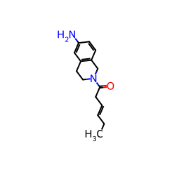 CCC=CCC(=O)N1CCc2cc(N)ccc2C1